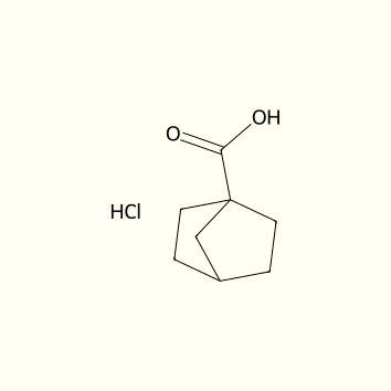 Cl.O=C(O)C12CCC(CC1)C2